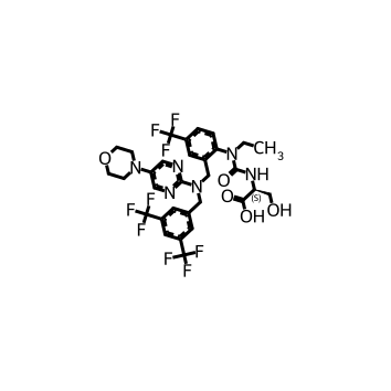 CCN(C(=O)N[C@@H](CO)C(=O)O)c1ccc(C(F)(F)F)cc1CN(Cc1cc(C(F)(F)F)cc(C(F)(F)F)c1)c1ncc(N2CCOCC2)cn1